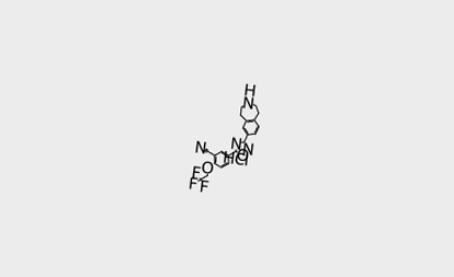 Cl.N#Cc1cc(-c2nc(-c3ccc4c(c3)CCNCC4)no2)ccc1OCC(F)(F)F